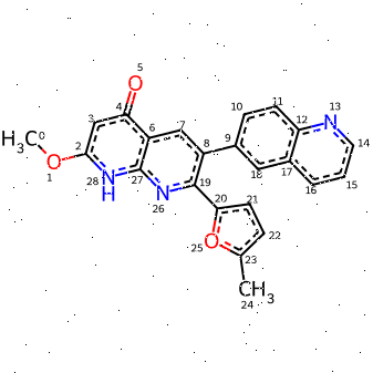 COc1cc(=O)c2cc(-c3ccc4ncccc4c3)c(-c3ccc(C)o3)nc2[nH]1